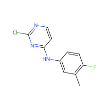 Cc1cc(Nc2ccnc(Cl)n2)ccc1F